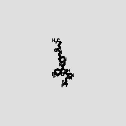 CCCC[S+]([O-])/N=C/c1cnn2cc([C@@H](NC(=O)c3cnnn3CCC(F)(F)F)C3CCC(F)(F)CC3)nc2c1